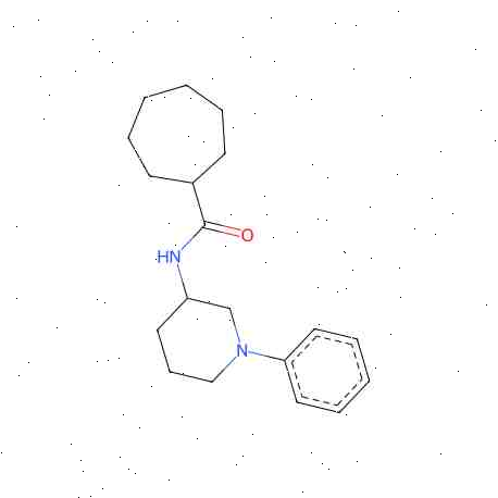 O=C(NC1CCCN(c2ccccc2)C1)C1CCCCCC1